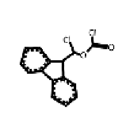 O=C(Cl)OC(Cl)C1c2ccccc2-c2ccccc21